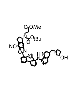 COC(=O)CCN(C(=O)OC(C)(C)C)[C@H]1CCc2c1cc1nc(-c3cccc(-c4cccc(Nc5nccc6cc(CN7CC[C@@H](O)C7)cnc56)c4Cl)c3Cl)oc1c2C#N